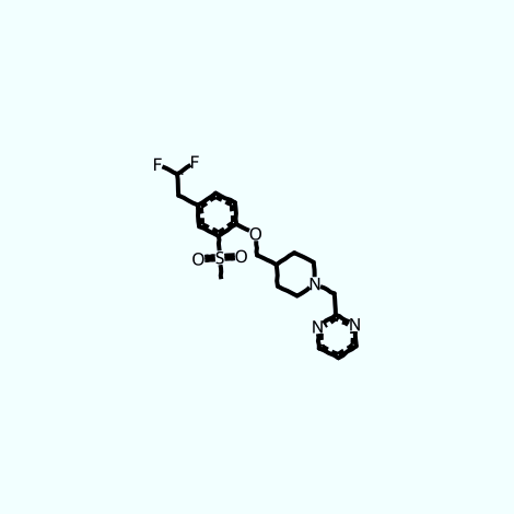 CS(=O)(=O)c1cc(C[C](F)F)ccc1OCC1CCN(Cc2ncccn2)CC1